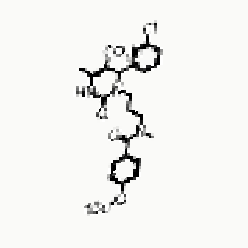 CC1=C(C(=O)O)C(c2cccc(Cl)c2)N(CCCN(C)C(=O)c2ccc(OC(C)(C)C)cc2)C(=O)N1